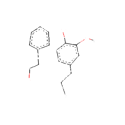 CCOc1cc(CCC(C)=O)ccc1O.OCCc1ccccc1